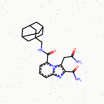 NC(=O)Cc1c(C(N)=O)nc2cccc(C(=O)NCC34CC5CC(CC(C5)C3)C4)n12